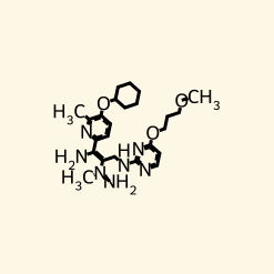 COCCCOc1ccnc(NC/C(=C(/N)c2ccc(OC3CCCCC3)c(C)n2)N(C)N)n1